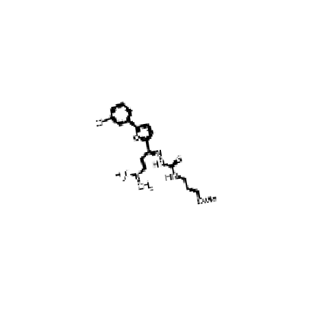 COCCCNC(=S)NN=C(CCN(C)C)c1ccc(-c2cccc(Cl)c2)o1